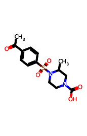 CC(=O)c1ccc(S(=O)(=O)N2CCN(C(=O)O)CC2C)cc1